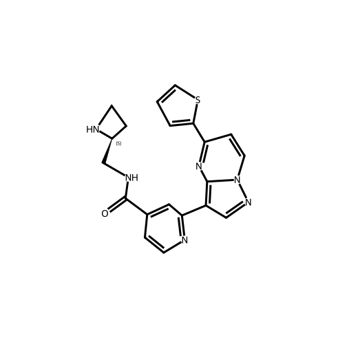 O=C(NC[C@@H]1CCN1)c1ccnc(-c2cnn3ccc(-c4cccs4)nc23)c1